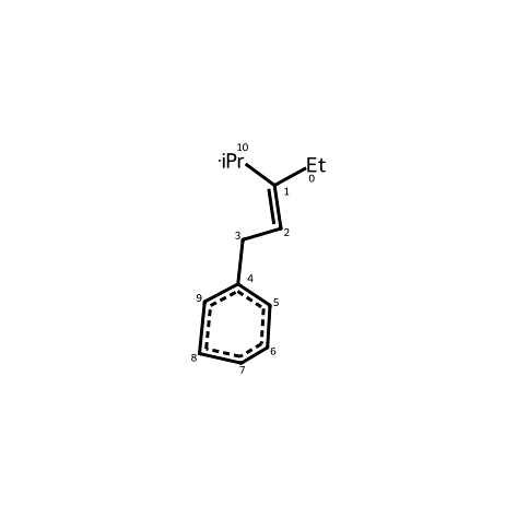 CCC(=CCc1ccccc1)[C](C)C